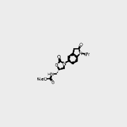 COC(=O)NC[C@H]1CN(c2ccc3c(c2)CC(=O)N3C(C)C)C(=O)O1